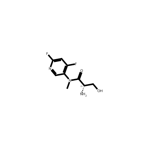 CN(C(=O)[C@@H](N)CO)c1cnc(F)cc1F